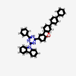 c1ccc(-c2ccc(-c3ccc4c(c3)oc3ccc(-c5nc(-c6ccccc6)nc(-n6c7ccccc7c7ccccc76)n5)cc34)cc2)cc1